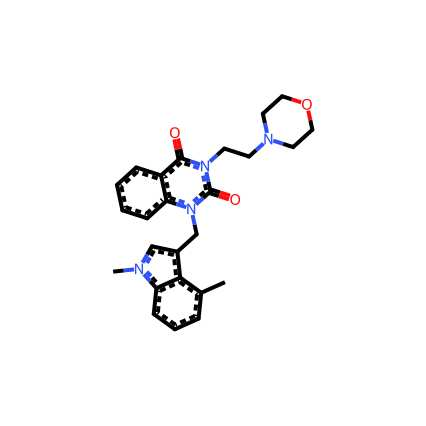 Cc1cccc2c1c(Cn1c(=O)n(CCN3CCOCC3)c(=O)c3ccccc31)cn2C